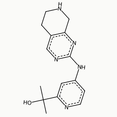 CC(C)(O)c1cc(Nc2ncc3c(n2)CNCC3)ccn1